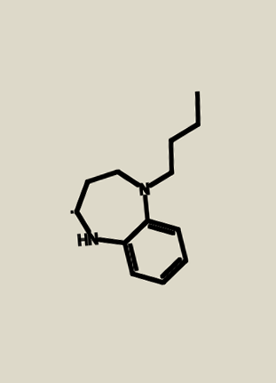 CCCCN1CC[CH]Nc2ccccc21